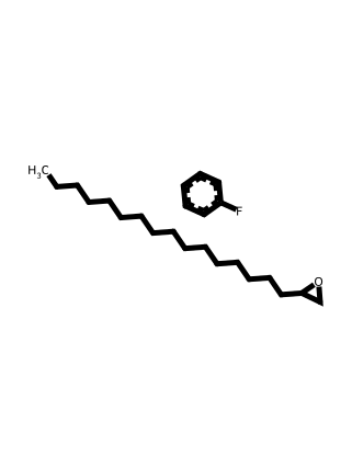 CCCCCCCCCCCCCCCCC1CO1.Fc1ccccc1